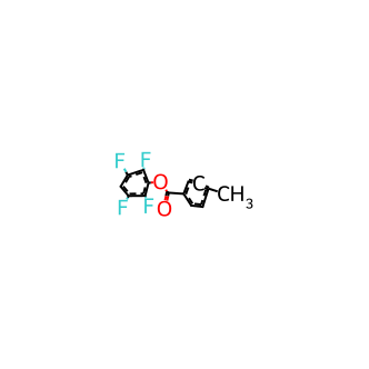 Cc1ccc(C(=O)Oc2c(F)c(F)cc(F)c2F)cc1